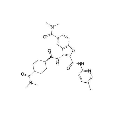 Cc1ccc(NC(=O)c2oc3ccc(C(=O)N(C)C)cc3c2NC(=O)[C@H]2CC[C@H](C(=O)N(C)C)CC2)nc1